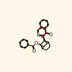 O=C(OC1C2CCC(C(c3ccccn3)C2)C1OC(=O)c1ccccc1)c1ccccc1